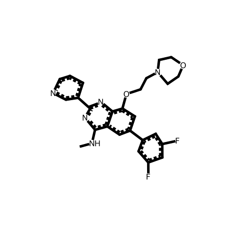 CNc1nc(-c2cccnc2)nc2c(OCCN3CCOCC3)cc(-c3cc(F)cc(F)c3)cc12